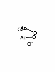 CC(=O)[O-].CC(=O)[O-].[Cl-].[Ga+3]